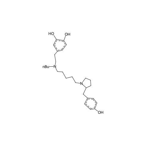 CCCCN(CCCCCN1CCCC1Cc1ccc(O)cc1)CCc1ccc(O)c(O)c1